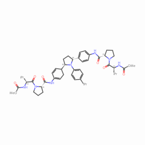 COC(=O)N[C@H](C(=O)N1CCC[C@H]1C(=O)NC1=CCC([C@H]2CC[C@H](c3ccc(NC(=O)[C@@H]4CCCN4C(=O)[C@@H](NC(=O)OC)C(C)C)cc3)N2c2ccc(C(C)C)cc2)C=C1)C(C)C